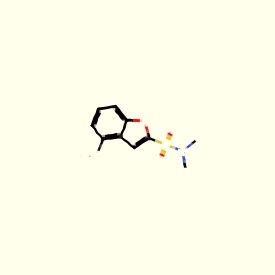 COc1cccc2oc(S(=O)(=O)N(C)C)cc12